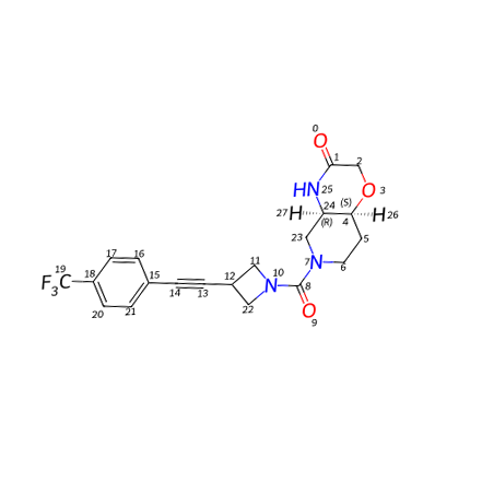 O=C1CO[C@H]2CCN(C(=O)N3CC(C#Cc4ccc(C(F)(F)F)cc4)C3)C[C@H]2N1